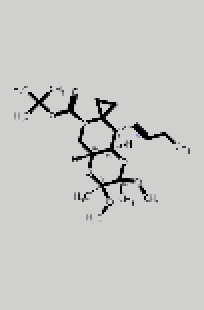 CC/C=C/[C@@H]1[C@H]2O[C@](C)(OC)[C@@](C)(OC)O[C@@H]2CN(C(=O)OC(C)(C)C)C12CC2